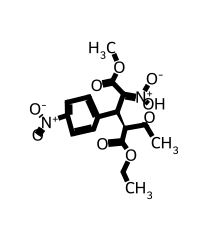 CCOC(=O)[C@H](C(C)=O)C(C(C(=O)OC)=[N+]([O-])O)c1ccc([N+](=O)[O-])cc1